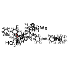 COC(=O)N[C@H](C(=O)N[C@@H](Cc1ccc(C#Cc2ccc(N3CC4CCC(C3)N4C(C)C)nc2)cc1)[C@@H](O)CN(Cc1c(F)cc(-c2ccccn2)cc1F)NC(=O)[C@@H](NC(=O)O)C(C)(C)C(F)(F)F)C(C)(C)C(F)(F)F